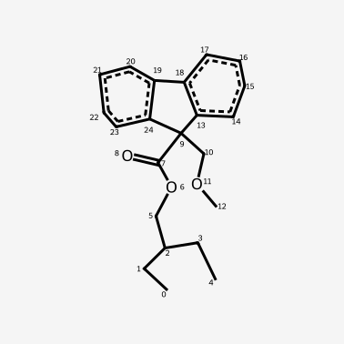 CCC(CC)COC(=O)C1(COC)c2ccccc2-c2ccccc21